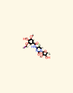 COc1cc(C(=O)Nc2nc(=O)n([C@@H]3O[C@H](C)[C@@H](O)[C@H]3O)cc2F)cc(OCI)c1O